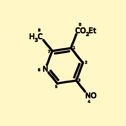 CCOC(=O)c1cc(N=O)cnc1C